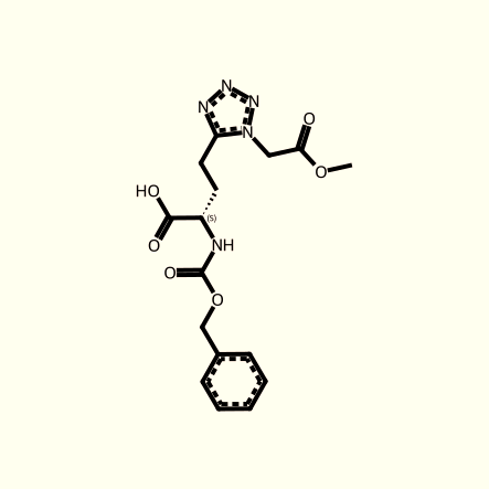 COC(=O)Cn1nnnc1CC[C@H](NC(=O)OCc1ccccc1)C(=O)O